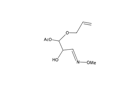 C=CCOC(OC(C)=O)C(O)C=NOC